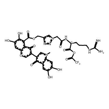 Cn1cc(-c2coc3cc(O)c(O)c(C(=O)OCc4cn(CC(=O)N[C@@H](CCCNC(=N)N)C(=O)OC(=O)C(F)(F)F)nn4)c3c2=O)c(=O)c2cc(O)c(O)cc21